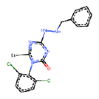 CCc1nc(NNCc2ccccc2)nc(=O)n1-c1c(Cl)cccc1Cl